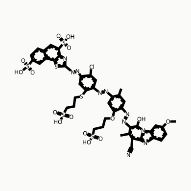 COc1ccc2nc3c(C#N)c(C)c(N=Nc4cc(C)c(N=Nc5cc(Cl)c(N=Nc6nc7c(S(=O)(=O)O)cc8ccc(S(=O)(=O)O)cc8c7s6)cc5SCCCS(=O)(=O)O)cc4OCCCS(=O)(=O)O)c(O)n3c2c1